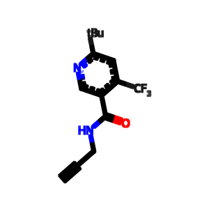 C#CCNC(=O)c1cnc(C(C)(C)C)cc1C(F)(F)F